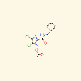 CC(=O)OCn1c(C(=O)NCc2ccccc2)nc(Cl)c1Cl